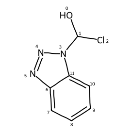 OC(Cl)n1nnc2ccccc21